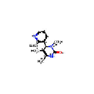 CSc1ncccc1C1C(C(=O)O)=C(C)NC(=O)N1C(=O)O